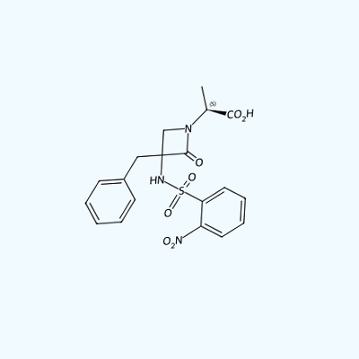 C[C@@H](C(=O)O)N1CC(Cc2ccccc2)(NS(=O)(=O)c2ccccc2[N+](=O)[O-])C1=O